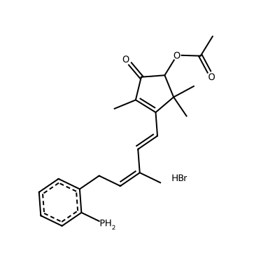 Br.CC(=O)OC1C(=O)C(C)=C(C=CC(C)=CCc2ccccc2P)C1(C)C